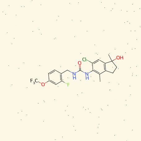 Cc1c2c(cc(Cl)c1NC(=O)NCc1ccc(OC(F)(F)F)cc1F)C(C)(O)CC2